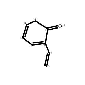 C=CC1=CC=CCC1=O